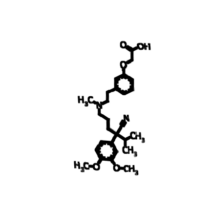 COc1ccc(C(C#N)(CCCN(C)CCc2cccc(OCC(=O)O)c2)C(C)C)cc1OC